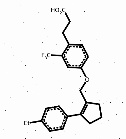 CCc1ccc(C2=C(COc3ccc(CCC(=O)O)c(C(F)(F)F)c3)CCC2)cc1